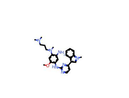 COc1cc(N(C)CCCN(C)C)c(N)cc1Nc1nccc(-c2cn(C)c3ccccc23)n1